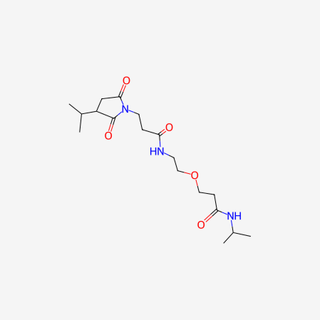 CC(C)NC(=O)CCOCCNC(=O)CCN1C(=O)CC(C(C)C)C1=O